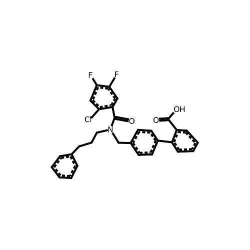 O=C(O)c1ccccc1-c1ccc(CN(CCCc2ccccc2)C(=O)c2cc(F)c(F)cc2Cl)cc1